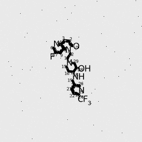 O=c1ccc2ncc(F)cc2n1CCN1CC[C@H](NCc2ccc(C(F)(F)F)nc2)[C@H](O)C1